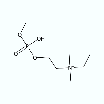 CC[N+](C)(C)CCOP(=O)(O)OC